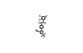 N#Cc1cc(C(F)(F)F)nn1-c1ccc(NC(=O)c2cc(F)cc(F)c2F)cc1